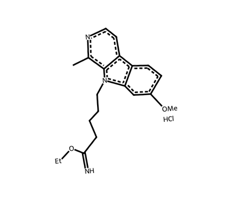 CCOC(=N)CCCCn1c2cc(OC)ccc2c2ccnc(C)c21.Cl